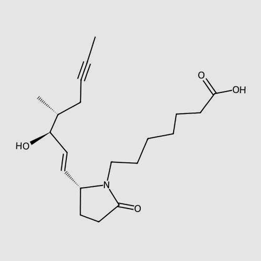 CC#CC[C@@H](C)[C@H](O)/C=C/[C@H]1CCC(=O)N1CCCCCCC(=O)O